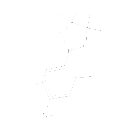 Cc1cc(B2OC(C)(C)C(C)(C)O2)c(C)cc1N